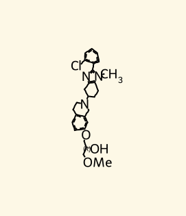 COC[C@@H](O)COc1ccc2c(c1)CN(C1CCc3c(nc(-c4ccccc4Cl)n3C)C1)CC2